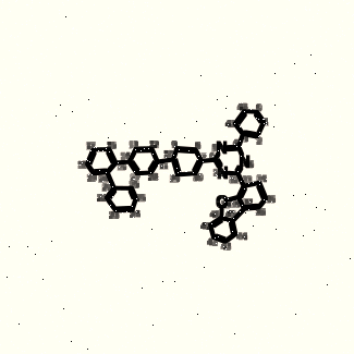 c1ccc(-c2nc(-c3ccc(-c4ccc(-c5ccccc5-c5ccccc5)cc4)cc3)nc(-c3cccc4c3oc3ccccc34)n2)cc1